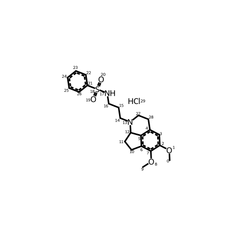 COc1cc2c3c(c1OC)CCC3N(CCCNS(=O)(=O)c1ccccc1)CC2.Cl